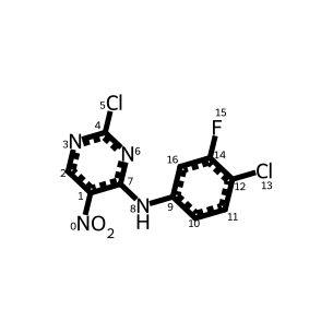 O=[N+]([O-])c1cnc(Cl)nc1Nc1ccc(Cl)c(F)c1